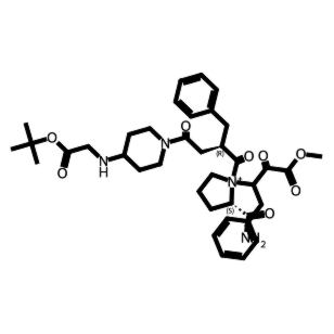 COC(=O)C(=O)C(Cc1ccccc1)[N+]1(C(=O)[C@@H](CC(=O)N2CCC(NCC(=O)OC(C)(C)C)CC2)Cc2ccccc2)CCC[C@H]1C(N)=O